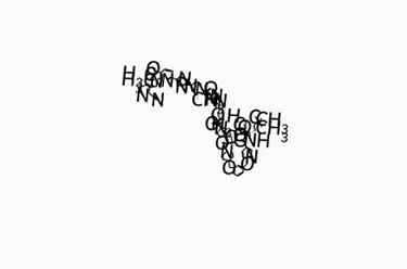 COC(=O)[C@H](CCC(C)(C)C)NC(=O)c1ccc(Oc2cccc(OC3CCN(C(=O)COC4CCN(C(=O)COCc5cn(CC(=O)N6CCN(c7ncc(-c8ccc9c(n8)N(Cc8cccnc8C#N)C(C)(C)C9=O)cn7)C[C@H]6C)nn5)C4)CC3)c2)nc1